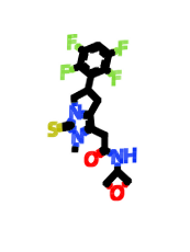 Cn1c(CC(=O)NC2COC2)c2n(c1=S)CC(c1c(F)c(F)cc(F)c1F)C2